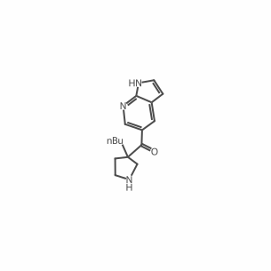 CCCCC1(C(=O)c2cnc3[nH]ccc3c2)CCNC1